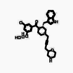 Cl.Cl.O=C(c1cc(Cl)cc(Cl)c1)N1CCN(CC#CCC2CNCCO2)C[C@H]1Cc1c[nH]c2ccccc12